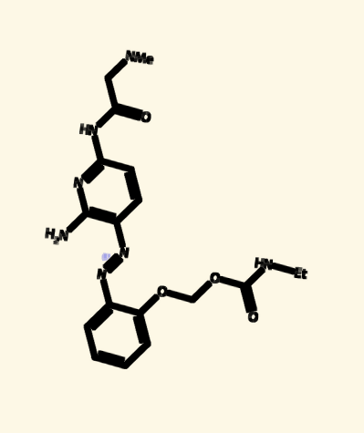 CCNC(=O)OCOc1ccccc1/N=N/c1ccc(NC(=O)CNC)nc1N